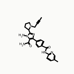 CC#CCN1CCCC1c1nc(-c2ccc(C(=O)Nc3ccc(C)cn3)cc2)c(C(N)=O)n1N